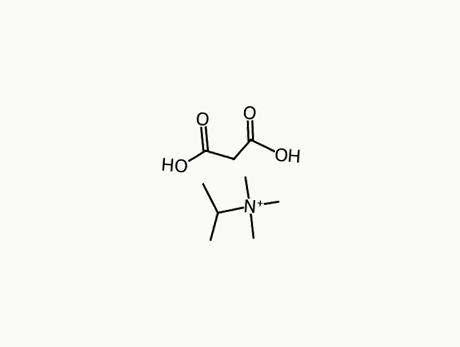 CC(C)[N+](C)(C)C.O=C(O)CC(=O)O